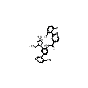 N#Cc1ccncc1-c1ccc(NC(=O)c2ccnc(-c3c(F)cccc3Cl)n2)c(N2C[C@@H](N)CC2CO)c1